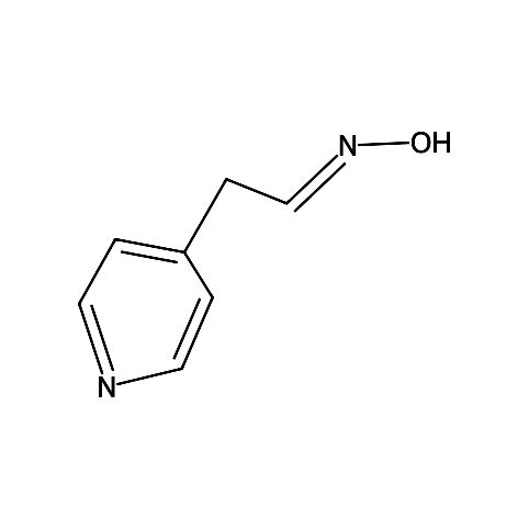 ON=CCc1ccncc1